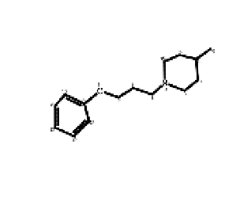 CC1CCN(CCCOc2ccccc2)CC1